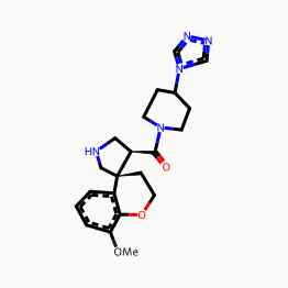 COc1cccc2c1OCC[C@]21CNC[C@H]1C(=O)N1CCC(n2cnnc2)CC1